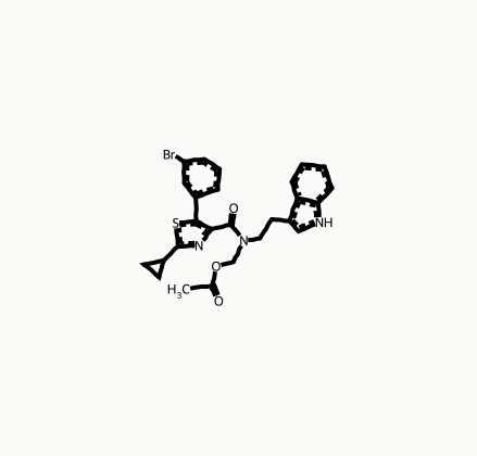 CC(=O)OCN(CCc1c[nH]c2ccccc12)C(=O)c1nc(C2CC2)sc1-c1cccc(Br)c1